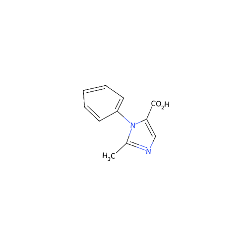 Cc1ncc(C(=O)O)n1-c1ccccc1